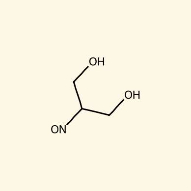 O=NC(CO)CO